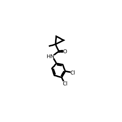 CC1(C(=O)Nc2ccc(Cl)c(Cl)c2)CC1